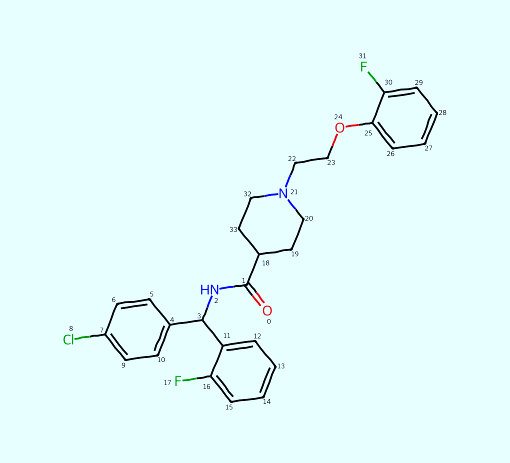 O=C(NC(c1ccc(Cl)cc1)c1ccccc1F)C1CCN(CCOc2ccccc2F)CC1